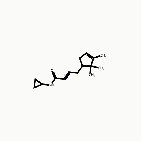 CC1=CCC(C/C=C/C(=O)NC2CC2)C1(C)C